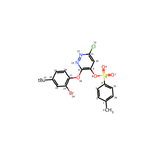 Cc1ccc(S(=O)(=O)Oc2cc(Cl)nnc2Oc2ccc(C(C)(C)C)cc2Br)cc1